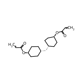 C=CC(=O)O[C@H]1CC[C@H](C[C@H]2CC[C@H](OC(=O)C=C)CC2)CC1